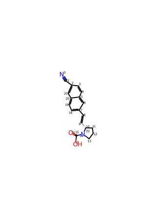 N#Cc1ccc2cc(C=C[C@@H]3CCCN3C(=O)O)ccc2c1